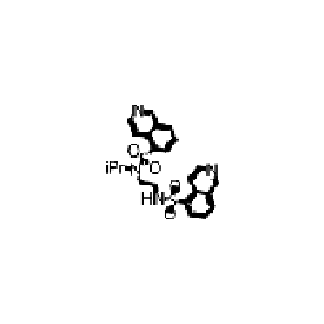 CC(C)N(CCNS(=O)(=O)c1cccc2cnccc12)S(=O)(=O)c1cccc2cnccc12